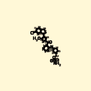 Cc1sc(C(=O)c2cncnc2N[C@H]2CC[C@@H](COS(N)(=O)=O)C2)cc1C1SCc2ccc(Cl)cc21